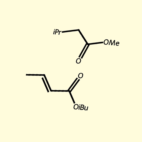 C/C=C/C(=O)OCC(C)C.COC(=O)CC(C)C